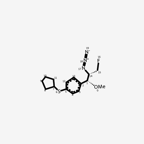 CO[C@H](c1ccc(SC2CCCC2)cc1)[C@@H](CF)N=[N+]=[N-]